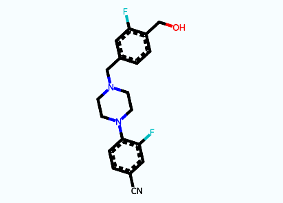 N#Cc1ccc(N2CCN(Cc3ccc(CO)c(F)c3)CC2)c(F)c1